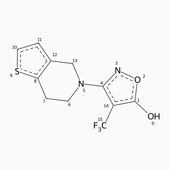 Oc1onc(N2CCc3sccc3C2)c1C(F)(F)F